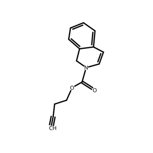 C#CCCOC(=O)N1C=Cc2ccccc2C1